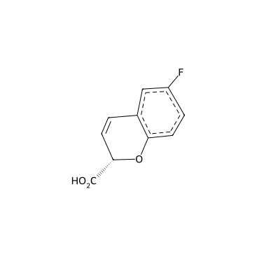 O=C(O)[C@@H]1C=Cc2cc(F)ccc2O1